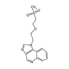 CS(=O)(=O)CCOCCn1cnc2cnc3ccccc3c21